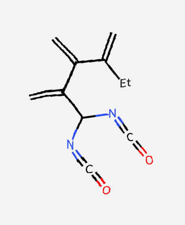 C=C(CC)C(=C)C(=C)C(N=C=O)N=C=O